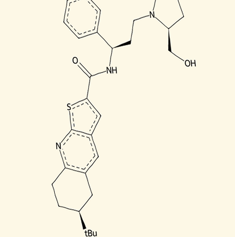 CC(C)(C)[C@H]1CCc2nc3sc(C(=O)N[C@H](CCN4CCC[C@H]4CO)c4ccccc4)cc3cc2C1